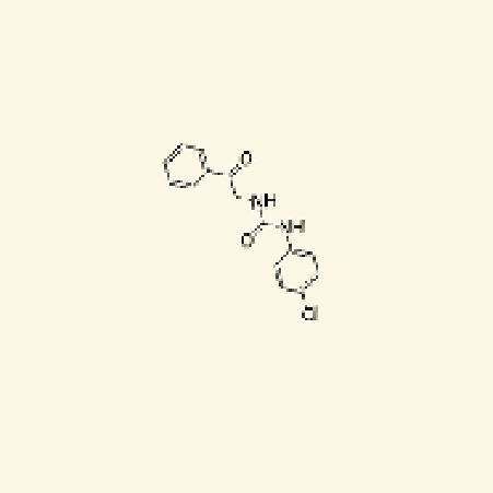 O=C(NCC(=O)c1ccccc1)Nc1ccc(Cl)cc1